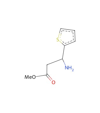 COC(=O)CC(N)c1cccs1